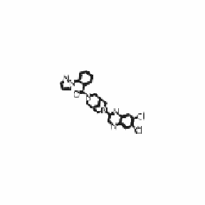 O=C(c1ccccc1-n1cccn1)N1CC2CC(C1)CN(c1cnc3cc(Cl)c(Cl)cc3n1)C2